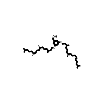 CC(C)CCC[C@@H](C)CCC[C@@H](C)CCCC(C)CCOc1cc(CO)cc(OCCC(C)CCC[C@H](C)CCC[C@H](C)CCCC(C)C)c1